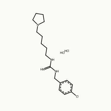 Cl.Cl.N=C(NCCCCCN1CCCC1)NCc1ccc(Cl)cc1